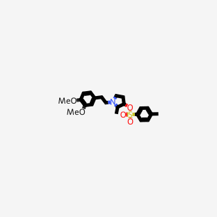 COc1ccc(CCN2CCC(OS(=O)(=O)c3ccc(C)cc3)C2C)cc1OC